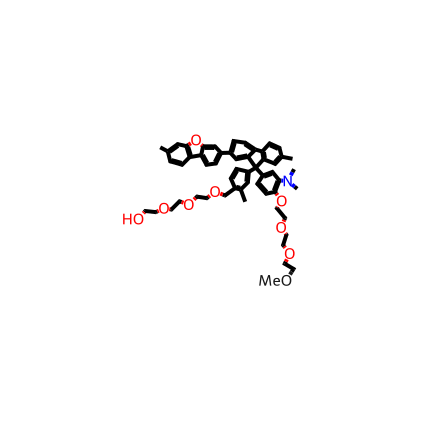 COCCOCCOCCOc1ccc(C2(c3ccc(COCCOCCOCCO)c(C)c3)c3cc(C)ccc3-c3ccc(-c4ccc5c(c4)oc4cc(C)ccc45)cc32)cc1N(C)C